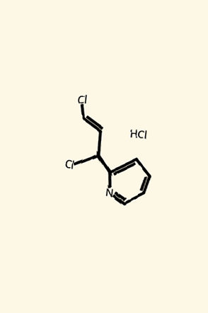 Cl.ClC=CC(Cl)c1ccccn1